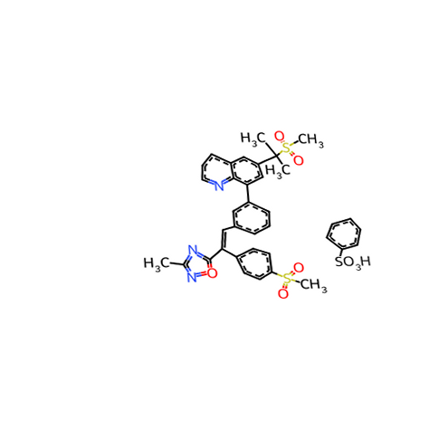 Cc1noc(/C(=C/c2cccc(-c3cc(C(C)(C)S(C)(=O)=O)cc4cccnc34)c2)c2ccc(S(C)(=O)=O)cc2)n1.O=S(=O)(O)c1ccccc1